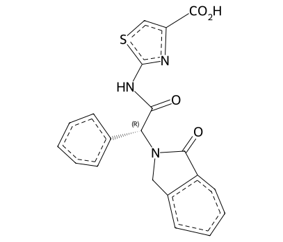 O=C(O)c1csc(NC(=O)[C@@H](c2ccccc2)N2Cc3ccccc3C2=O)n1